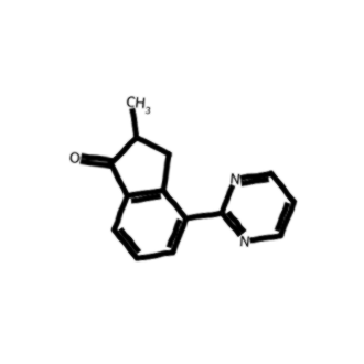 CC1Cc2c(cccc2-c2ncccn2)C1=O